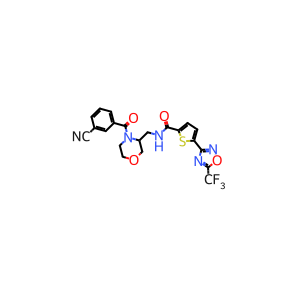 N#Cc1cccc(C(=O)N2CCOCC2CNC(=O)c2ccc(-c3noc(C(F)(F)F)n3)s2)c1